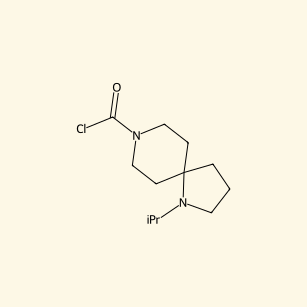 CC(C)N1CCCC12CCN(C(=O)Cl)CC2